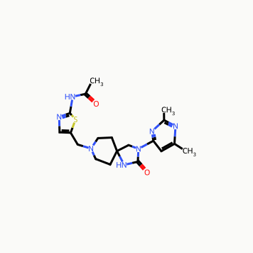 CC(=O)Nc1ncc(CN2CCC3(CC2)CN(c2cc(C)nc(C)n2)C(=O)N3)s1